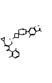 CN(Cc1c(-c2c(Cl)cccc2Cl)noc1C1CC1)C1CC2(C1)CC1CCC2N1c1cc2snc(C(=O)O)c2cc1Cl